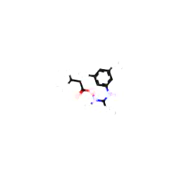 CCN(OC(=O)CC(C)C(=O)O)C(C)Nc1cc(C(F)(F)F)cc(C(F)(F)F)c1